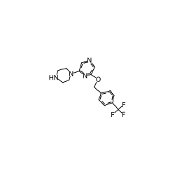 FC(F)(F)c1ccc(COc2cncc(N3CCNCC3)n2)cc1